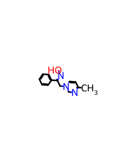 CC1=NCN(CC(=NO)c2ccccc2)C=C1